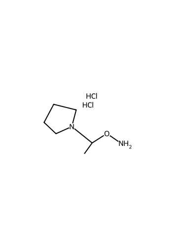 CC(ON)N1CCCC1.Cl.Cl